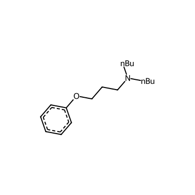 CCCCN(CCCC)CCCOc1ccccc1